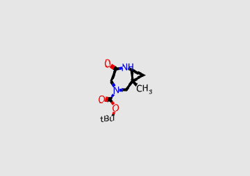 CC(C)(C)OC(=O)N1CC(=O)NC2CC2(C)C1